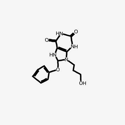 O=c1[nH]c2c(c(=O)[nH]1)NC(Oc1ccccc1)N2CCCO